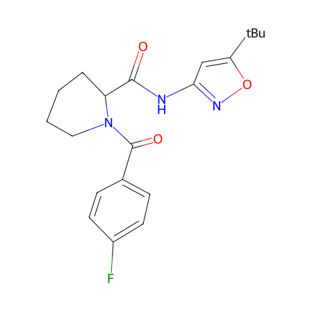 CC(C)(C)c1cc(NC(=O)C2CCCCN2C(=O)c2ccc(F)cc2)no1